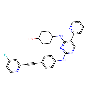 OC1CCC(Nc2nc(Nc3ccc(C#Cc4cc(F)ccn4)cc3)ncc2-c2ccccn2)CC1